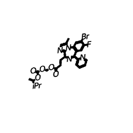 Cc1cnc2n1-c1cc(Br)c(F)cc1C(c1ccccn1)=NC2CCC(=O)OCOC(=O)OC(C)C(C)C